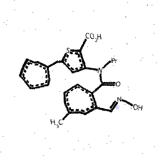 Cc1ccc(C(=O)N(c2cc(-c3ccccc3)sc2C(=O)O)C(C)C)c(/C=N/O)c1